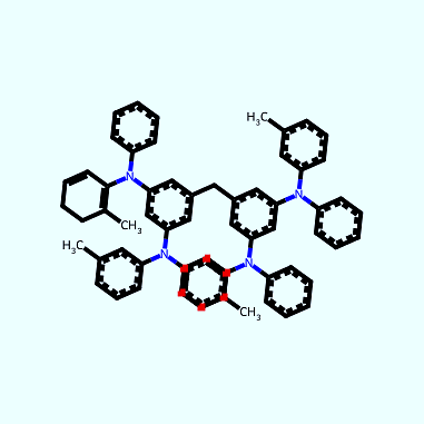 CC1=C(N(c2ccccc2)c2cc(Cc3cc(N(C4=CC=CCC4C)c4ccccc4)cc(N(c4ccccc4)c4cccc(C)c4)c3)cc(N(c3ccccc3)c3cccc(C)c3)c2)C=CCC1